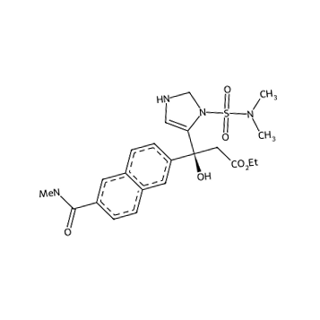 CCOC(=O)C[C@@](O)(C1=CNCN1S(=O)(=O)N(C)C)c1ccc2cc(C(=O)NC)ccc2c1